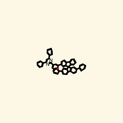 c1ccc(-c2ccc3c(c2)C2(c4ccccc4-c4ccc(-c5cccc(-c6nc(-c7ccccc7)cc(-c7ccccc7)n6)c5)cc42)c2cc(-c4ccccc4)ccc2-3)cc1